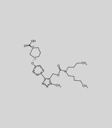 CCCCCN(CCCC)C(=O)OCc1c(-c2ccc(O[C@H]3CCC[C@H](C(=O)O)C3)cc2)nnn1C